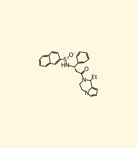 CCC1c2cccn2CCN1C(=O)C[C@@H](N[S+]([O-])c1ccc2ccccc2c1)c1ccccc1